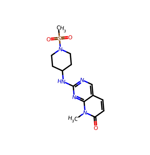 Cn1c(=O)ccc2cnc(NC3CCN(S(C)(=O)=O)CC3)nc21